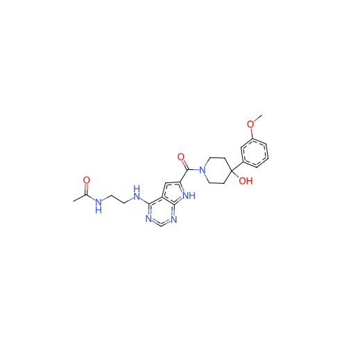 COc1cccc(C2(O)CCN(C(=O)c3cc4c(NCCNC(C)=O)ncnc4[nH]3)CC2)c1